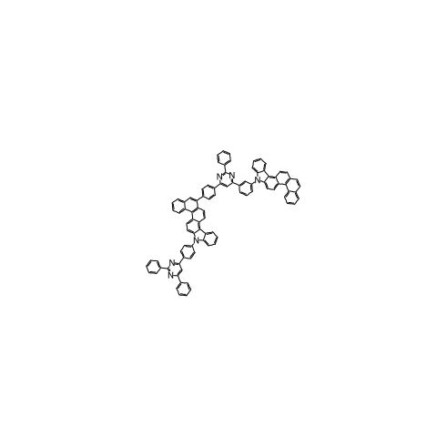 c1ccc(-c2cc(-c3ccc(-n4c5ccccc5c5c6ccc7c(-c8ccc(-c9cc(-c%10cccc(-n%11c%12ccccc%12c%12c%13ccc%14ccc%15ccccc%15c%14c%13ccc%12%11)c%10)nc(-c%10ccccc%10)n9)cc8)cc8ccccc8c7c6ccc54)cc3)nc(-c3ccccc3)n2)cc1